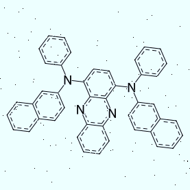 c1ccc(N(c2ccc3ccccc3c2)c2ccc(N(c3ccccc3)c3ccc4ccccc4c3)c3nc4ccccc4nc23)cc1